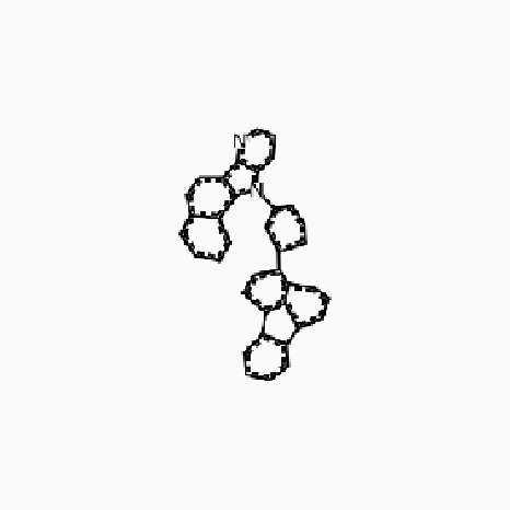 c1cc(-c2ccc3c4c(cccc24)-c2ccccc2-3)cc(-n2c3cccnc3c3ccc4ccccc4c32)c1